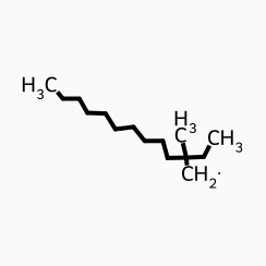 [CH2]C(C)(CC)CCCCCCCCCC